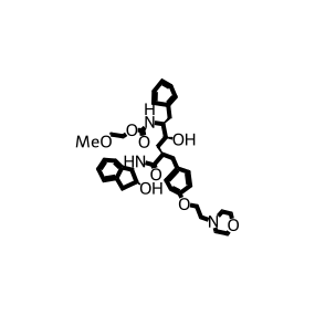 COCCOC(=O)N[C@@H](Cc1ccccc1)[C@@H](O)C[C@@H](Cc1ccc(OCCN2CCOCC2)cc1)C(=O)N[C@H]1c2ccccc2C[C@H]1O